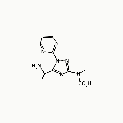 CC(N)c1nc(N(C)C(=O)O)nn1-c1ncccn1